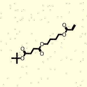 C=CC(=O)OCCCCOC(=O)CCC(=O)OC(C)(C)C